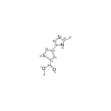 COC(=O)c1cc(-c2csc(C)n2)cs1